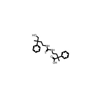 CC(CO)(CCNC(=S)NCCC(C)(C(=O)O)c1ccccc1)c1ccccc1